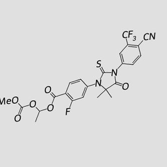 COC(=O)OC(C)OC(=O)c1ccc(N2C(=S)N(c3ccc(C#N)c(C(F)(F)F)c3)C(=O)C2(C)C)cc1F